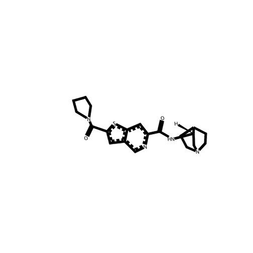 O=C(N[C@H]1CN2CCC1CC2)c1cc2sc(C(=O)N3CCCC3)cc2cn1